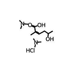 CC(=CCC(C)O)C(=O)O.CN(C)C.CN(C)C.Cl